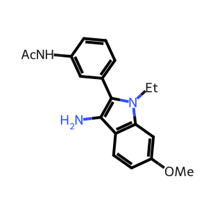 CCn1c(-c2cccc(NC(C)=O)c2)c(N)c2ccc(OC)cc21